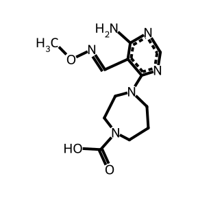 CON=Cc1c(N)ncnc1N1CCCN(C(=O)O)CC1